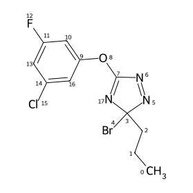 CCCC1(Br)N=NC(Oc2cc(F)cc(Cl)c2)=N1